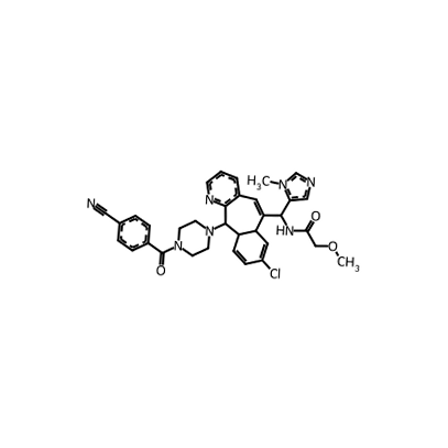 COCC(=O)NC(C1=Cc2cccnc2C(N2CCN(C(=O)c3ccc(C#N)cc3)CC2)C2C=CC(Cl)=CC12)c1cncn1C